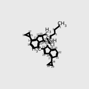 CCCCC[SiH]=[Hf]([Cl])([Cl])([CH]1C(C)=Cc2c(C3CC3)cccc21)[CH]1C(C)=Cc2c(C3CC3)cccc21